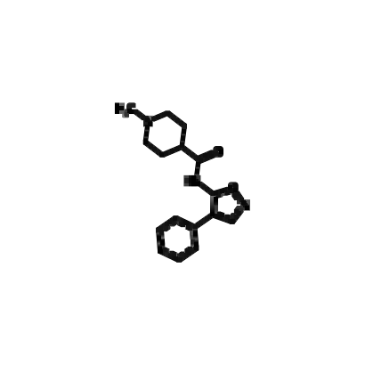 CN1CCC(C(=O)Nc2oncc2-c2ccccc2)CC1